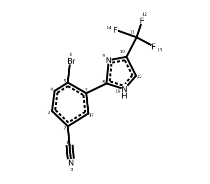 N#Cc1ccc(Br)c(-c2nc(C(F)(F)F)c[nH]2)c1